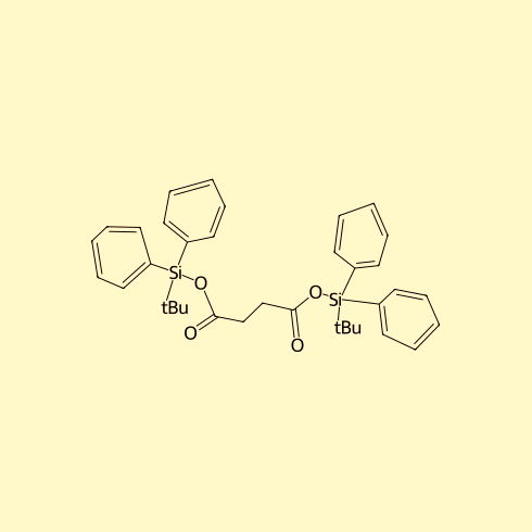 CC(C)(C)[Si](OC(=O)CCC(=O)O[Si](c1ccccc1)(c1ccccc1)C(C)(C)C)(c1ccccc1)c1ccccc1